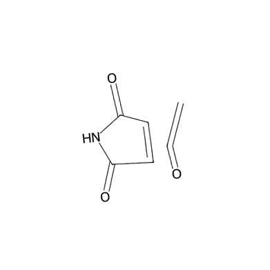 C=C=O.O=C1C=CC(=O)N1